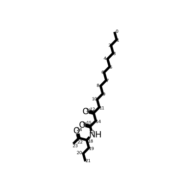 CCCCCCCCCCCCC(=O)CC(=O)NC(CCC)C(C)=O